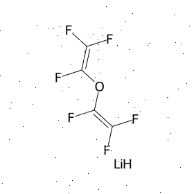 FC(F)=C(F)OC(F)=C(F)F.[LiH]